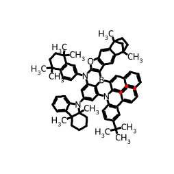 CC(C)(C)c1ccc(N2c3cc4ccccc4cc3B3c4c2cc(N2c5ccccc5C5(C)CCCCC25C)cc4N(c2ccc4c(c2)C(C)(C)CCC4(C)C)c2oc4cc5c(cc4c23)C2(C)CCC5(C)C2)c(-c2ccccc2)c1